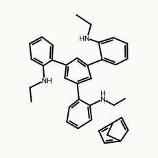 C1=CC2=CC=C1C2.CCNc1ccccc1-c1cc(-c2ccccc2NCC)cc(-c2ccccc2NCC)c1